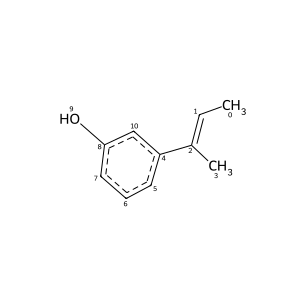 CC=C(C)c1cccc(O)c1